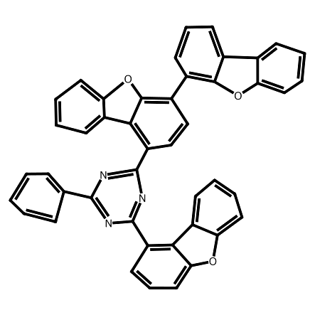 c1ccc(-c2nc(-c3cccc4oc5ccccc5c34)nc(-c3ccc(-c4cccc5c4oc4ccccc45)c4oc5ccccc5c34)n2)cc1